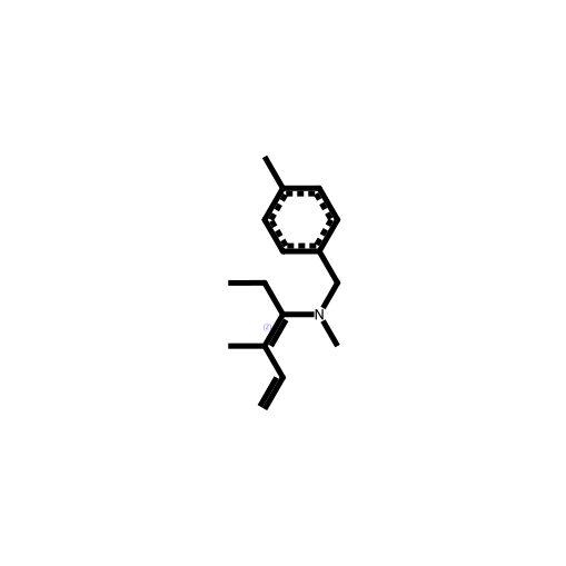 C=C/C(C)=C(/CC)N(C)Cc1ccc(C)cc1